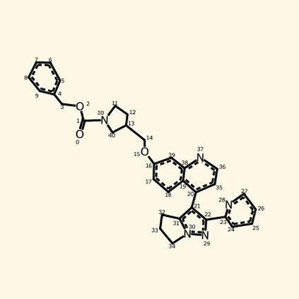 O=C(OCc1ccccc1)N1CCC(COc2ccc3c(-c4c(-c5ccccn5)nn5c4CCC5)ccnc3c2)C1